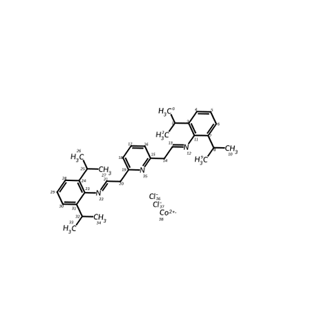 CC(C)c1cccc(C(C)C)c1N=CCc1cccc(CC=Nc2c(C(C)C)cccc2C(C)C)n1.[Cl-].[Cl-].[Co+2]